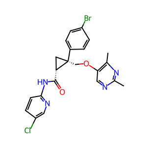 Cc1ncc(OC[C@@]2(c3ccc(Br)cc3)C[C@H]2C(=O)Nc2ccc(Cl)cn2)c(C)n1